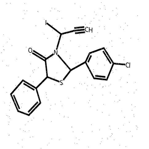 C#CC(I)N1C(=O)C(c2ccccc2)SC1c1ccc(Cl)cc1